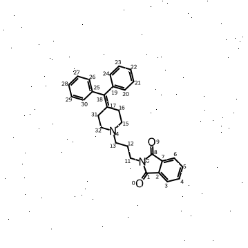 O=C1c2ccccc2C(=O)N1CCCN1CCC(=C(c2ccccc2)c2ccccc2)CC1